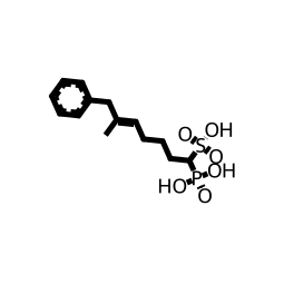 C/C(=C\CCCC(P(=O)(O)O)S(=O)(=O)O)Cc1ccccc1